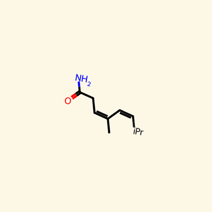 CC(/C=C\C(C)C)=C/CC(N)=O